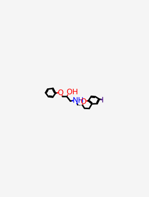 O[C@@H](CNC[C@H]1CCc2cc(I)ccc2O1)COc1ccccc1